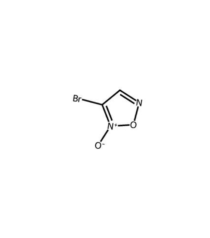 [O-][n+]1oncc1Br